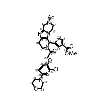 COC(=O)c1csc(C2c3c(nc4n3CCN(C(C)=O)C4)CCN2C(=O)COc2ccc(N3CCOCC3)nc2Cl)c1